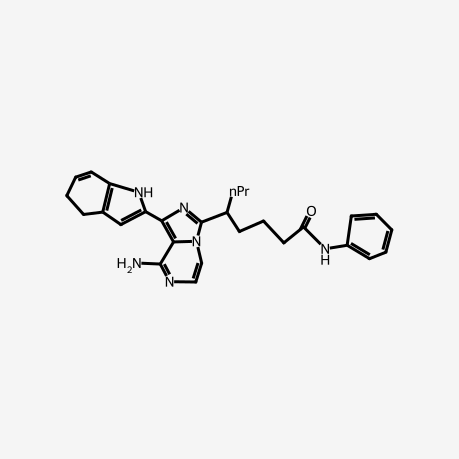 CCCC(CCCC(=O)Nc1ccccc1)c1nc(-c2cc3c([nH]2)C=CCC3)c2c(N)nccn12